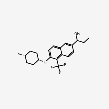 CCC(O)c1ccc2c(C(F)(F)F)c(O[C@H]3CC[C@@H](C)CC3)ccc2c1